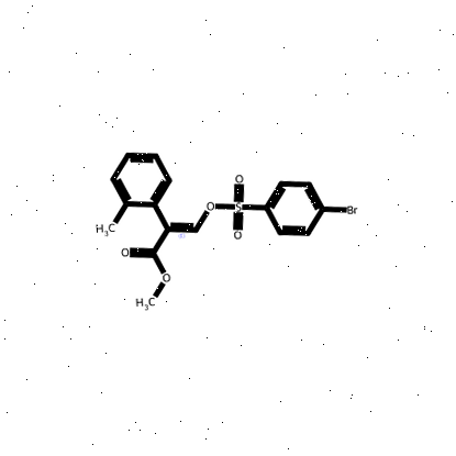 COC(=O)/C(=C/OS(=O)(=O)c1ccc(Br)cc1)c1ccccc1C